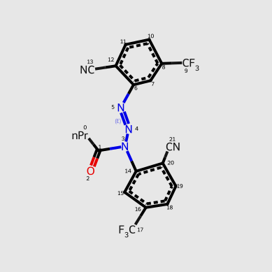 CCCC(=O)N(/N=N/c1cc(C(F)(F)F)ccc1C#N)c1cc(C(F)(F)F)ccc1C#N